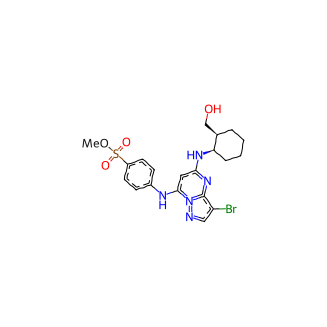 COS(=O)(=O)c1ccc(Nc2cc(N[C@@H]3CCCC[C@@H]3CO)nc3c(Br)cnn23)cc1